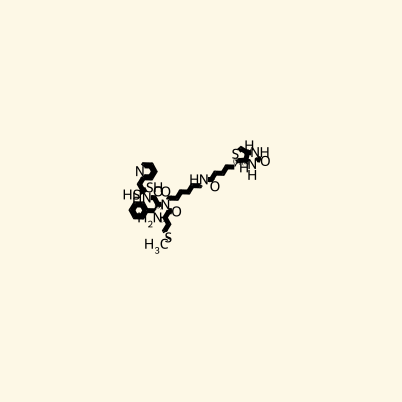 CSCC[C@H](N)C(=O)N(C(=O)CCCCCNC(=O)CCCC[C@@H]1SC[C@@H]2NC(=O)N[C@@H]21)[C@@H](Cc1ccccc1)C(=O)NC(S)(S)Cc1ccccn1